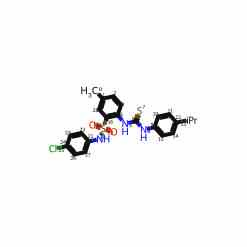 Cc1ccc(NC(=S)Nc2ccc(C(C)C)cc2)c(S(=O)(=O)Nc2ccc(Cl)cc2)c1